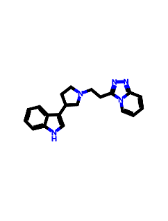 c1ccc2c(C3CCN(CCc4nnc5ccccn45)C3)c[nH]c2c1